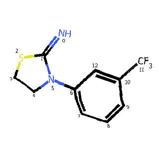 N=C1SCCN1c1cccc(C(F)(F)F)c1